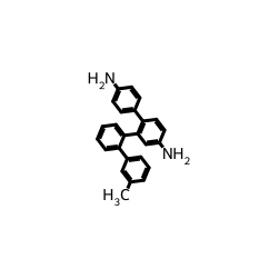 Cc1cccc(-c2ccccc2-c2cc(N)ccc2-c2ccc(N)cc2)c1